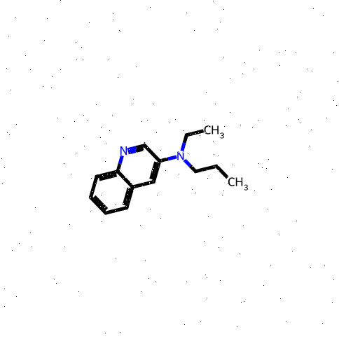 CCCN(CC)c1[c]nc2ccccc2c1